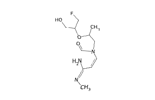 C/N=C(N)\C=C/N(C=O)CC(C)OC(CO)CF